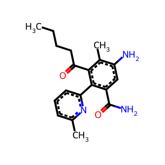 CCCCC(=O)c1c(C)c(N)cc(C(N)=O)c1-c1cccc(C)n1